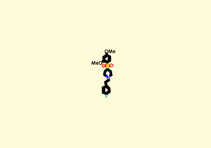 COc1ccc(S(=O)(=O)C2CCN(CCc3ccc(F)cc3)CC2)c(OC)c1